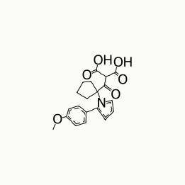 COc1ccc(-c2cccn2C2(C(=O)C(C(=O)O)C(=O)O)CCCC2)cc1